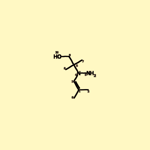 CC(C)=CN(N)C(C)(C)CO